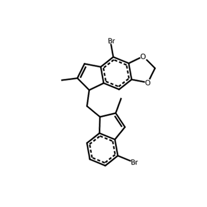 CC1=Cc2c(Br)cccc2C1CC1C(C)=Cc2c1cc1c(c2Br)OCO1